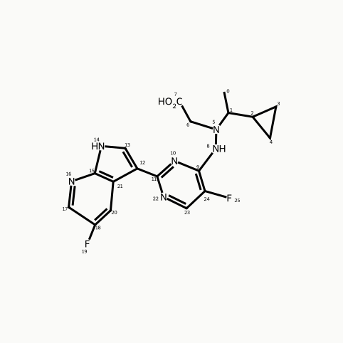 CC(C1CC1)N(CC(=O)O)Nc1nc(-c2c[nH]c3ncc(F)cc23)ncc1F